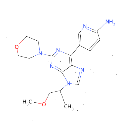 COCC(C)n1cnc2c(-c3ccc(N)nc3)nc(N3CCOCC3)nc21